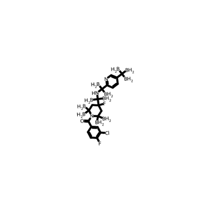 BC(B)(B)c1ccc(C(B)(B)NC(B)(B)C2(F)CC(B)(B)N(C(=O)c3ccc(F)c(Cl)c3)C(B)(B)C2)nc1